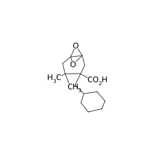 CC1(C)CC23OC2(CC1(CC1CCCCC1)C(=O)O)O3